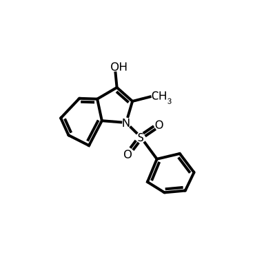 Cc1c(O)c2ccccc2n1S(=O)(=O)c1ccccc1